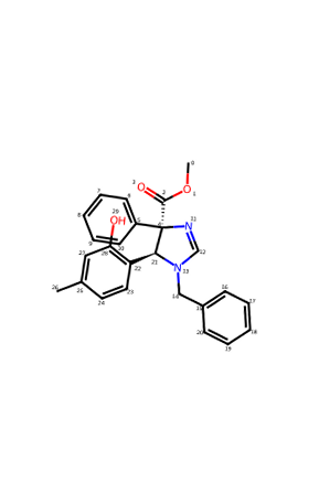 COC(=O)[C@]1(c2ccccc2)N=CN(Cc2ccccc2)[C@H]1c1ccc(C)cc1O